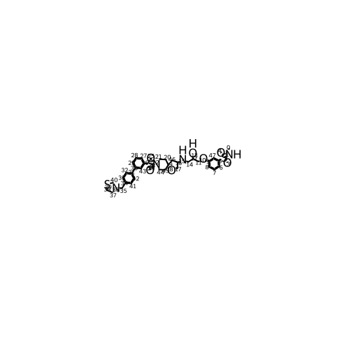 CNS(=O)(=O)c1cccc(OCC(O)CNC2COC3(CCN(S(=O)(=O)c4cccc(-c5ccc(CN6CCSC6)cc5)c4)CC3)C2)c1